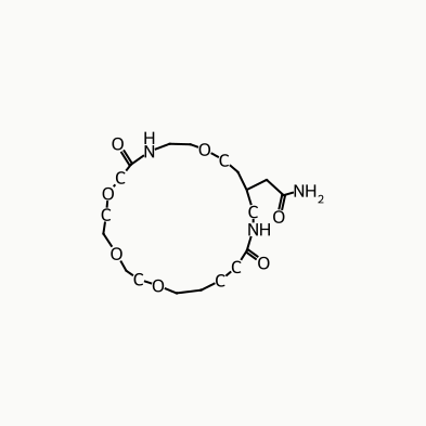 NC(=O)CC1CCOCCNC(=O)COCCOCCOCCCCC(=O)NC1